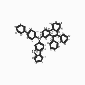 c1ccc(-c2ccc(N(c3ccc4c(c3)oc3ccccc34)c3ccc4c(c3)c(-c3ccccc3)c(-c3ccccc3)c3ccccc34)cc2)cc1